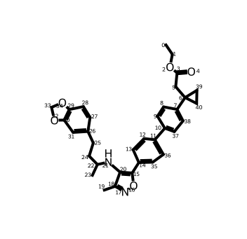 CCOC(=O)CC1(c2ccc(-c3ccc(-c4onc(C)c4NC(C)CCc4ccc5c(c4)OCO5)cc3)cc2)CC1